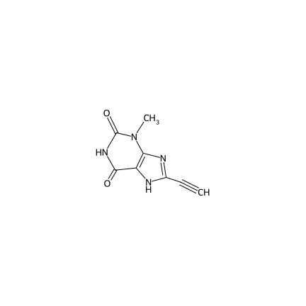 C#Cc1nc2c([nH]1)c(=O)[nH]c(=O)n2C